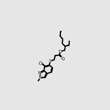 CCCCC(CC)COC(=O)CCSc1ccc2cn(C)nc2c1Cl